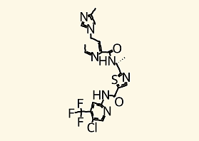 C/C=N\C(=C/Cn1cnc(C)c1)C(=O)N[C@H](C)c1ncc(C(=O)Nc2cc(C(F)(F)F)c(Cl)cn2)s1